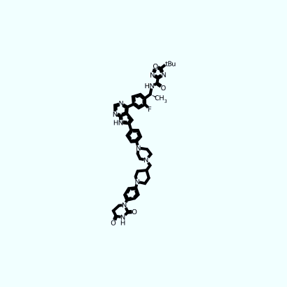 C[C@@H](NC(=O)c1noc(C(C)(C)C)n1)c1ccc(-c2ncnc3[nH]c(-c4ccc(N5CCN(CC6CCN(c7ccc(N8CCC(=O)NC8=O)cc7)CC6)CC5)cc4)cc23)cc1F